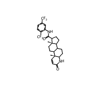 C[C@]12C=CC(=O)NC1CCC1C2CC[C@]2(C)C(C(=O)Nc3cc(C(F)(F)F)ccc3C(F)(F)F)CCC12